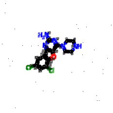 Nc1nc(N2CCNCC2)c2oc3c(Cl)cc(Cl)cc3c2n1